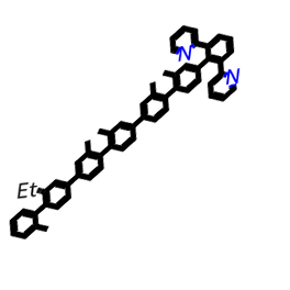 CCc1cc(-c2ccc(-c3ccc(-c4ccc(-c5ccc(-c6c(-c7ccccn7)cccc6-c6ccccn6)cc5C)c(C)c4)cc3C)c(C)c2)ccc1-c1ccccc1C